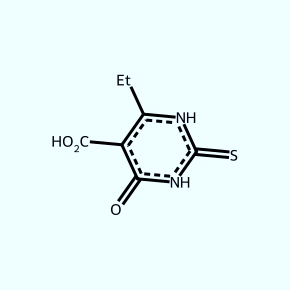 CCc1[nH]c(=S)[nH]c(=O)c1C(=O)O